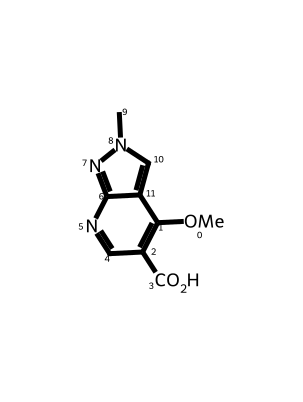 COc1c(C(=O)O)cnc2nn(C)cc12